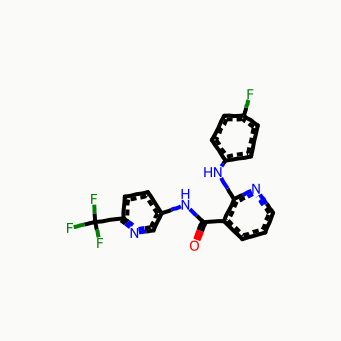 O=C(Nc1ccc(C(F)(F)F)nc1)c1cccnc1Nc1ccc(F)cc1